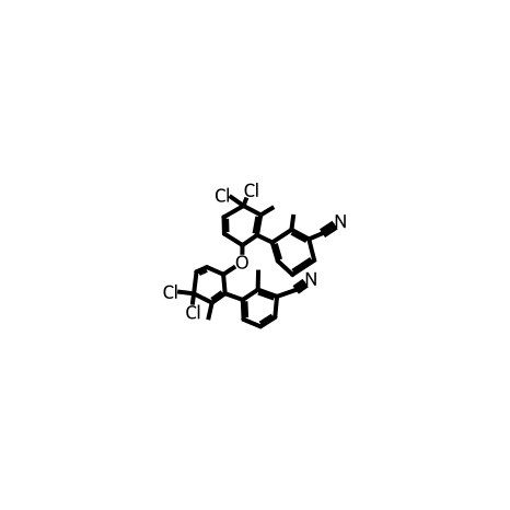 CC1=C(c2cccc(C#N)c2C)C(OC2C=CC(Cl)(Cl)C(C)=C2c2cccc(C#N)c2C)C=CC1(Cl)Cl